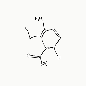 CCc1c(N)ccc(Cl)c1C(N)=O